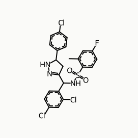 Cc1cc(F)ccc1S(=O)(=O)NC(C1=NNC(c2ccc(Cl)cc2)C1)c1ccc(Cl)cc1Cl